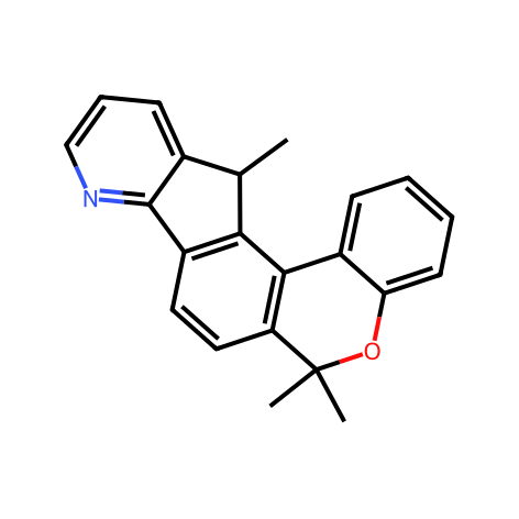 CC1c2cccnc2-c2ccc3c(c21)-c1ccccc1OC3(C)C